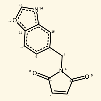 O=C1C=CC(=O)N1Cc1ccc2ocnc2c1